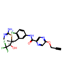 C#CCOc1cnc(C(=O)Nc2ccc(F)c(C[C@@](C)(S/C(N)=N\C)[C@@H](O)C(F)(F)F)c2)cn1